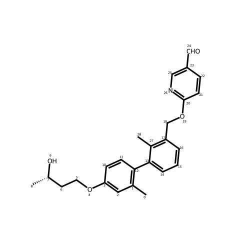 Cc1cc(OCC[C@H](C)O)ccc1-c1cccc(COc2ccc(C=O)cn2)c1C